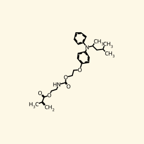 C=C(C)C(=O)OCCNC(=O)OCCOc1ccc(N(c2ccccc2)C(C)CC(C)C)cc1